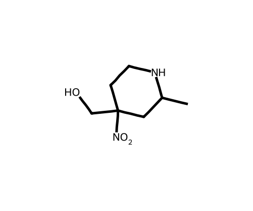 CC1CC(CO)([N+](=O)[O-])CCN1